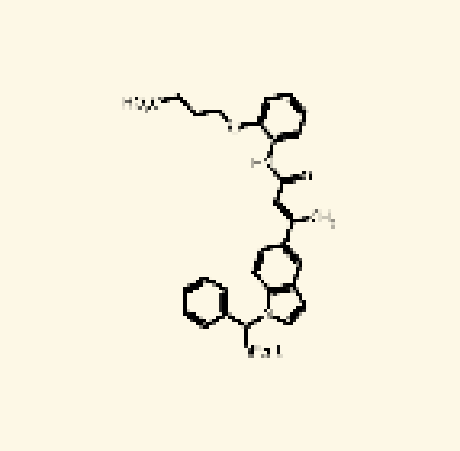 CCCCCC(c1ccccc1)n1ccc2cc(C(C)=CC(=O)Nc3ccccc3OCCCC(=O)O)ccc21